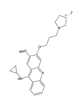 COc1cc2c(NC3CC3)c3ccccc3nc2cc1OCCCN1CC[C@H](F)C1